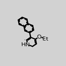 CCOC1=CCN[C]=C1c1ccc2ccccc2c1